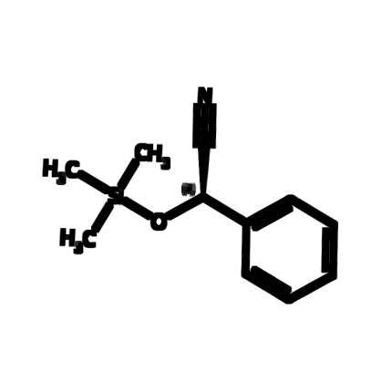 C[Si](C)(C)O[C@@H](C#N)c1ccccc1